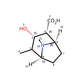 CC1[C@H](O)[C@H](C(=O)O)[C@H]2CC[C@@H]1N2C